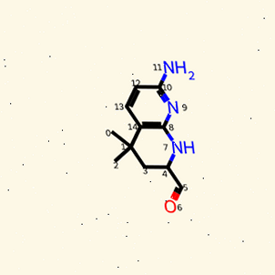 CC1(C)CC(C=O)Nc2nc(N)ccc21